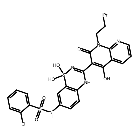 CC(C)CCn1c(=O)c(C2=NS(O)(O)c3cc(NS(=O)(=O)c4ccccc4Cl)ccc3N2)c(O)c2cccnc21